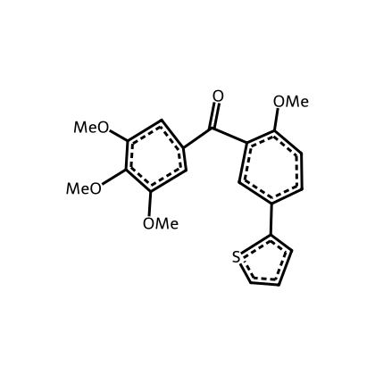 COc1ccc(-c2cccs2)cc1C(=O)c1cc(OC)c(OC)c(OC)c1